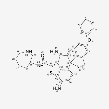 Cc1cc(Oc2ccccc2)ccc1C1(N)C(=O)C(N)c2c(C(=O)NC3CCCCNC3)sc3c(N)ccc1c23